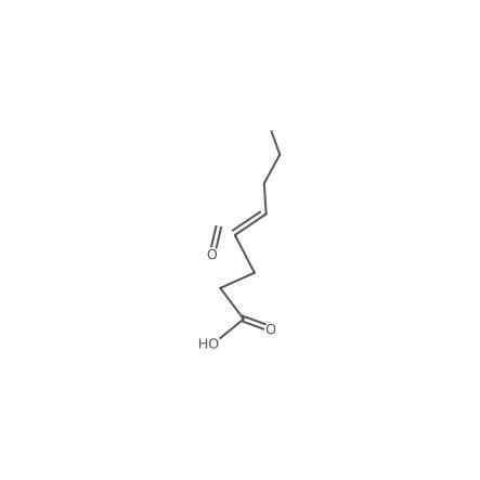 C=O.CCCC=CCCC(=O)O